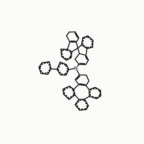 C1=CC2=C(CC1)c1ccccc1C21c2ccccc2C2=CC=C(N(C3=CC4=C(CC3)c3ccccc3-c3ccccc3-c3ccccc34)c3ccc(-c4ccccc4)cc3)CC21